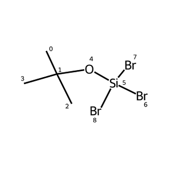 CC(C)(C)O[Si](Br)(Br)Br